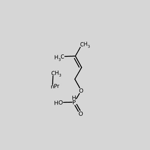 CC(C)=CCO[PH](=O)O.CCCC